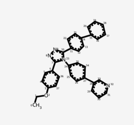 CCOc1ccc(-c2nnc(-c3ccc(-c4ccccc4)cc3)n2-c2ccc(-c3cccnc3)cc2)cc1